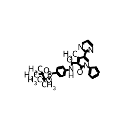 Cc1c(-c2ncccn2)cn(-c2ccccc2)c(=O)c1C(=O)Nc1ccc(B2OC(C)(C)C(C)(C)O2)cc1